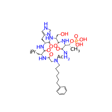 CC(=O)N(CCCCCCc1ccccc1)CC(=O)N[C@@H](CC(C)C)C(=O)N[C@@H](Cc1c[nH]cn1)C(=O)N[C@@H](CO)C(=O)N[C@H](C(N)=O)[C@@H](C)OP(=O)(O)O